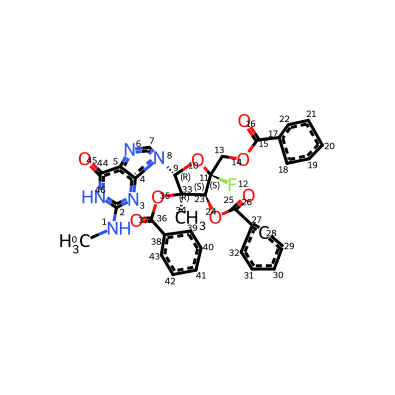 CNc1nc2c(ncn2[C@@H]2O[C@](F)(COC(=O)c3ccccc3)[C@@H](OC(=O)c3ccccc3)[C@@]2(C)OC(=O)c2ccccc2)c(=O)[nH]1